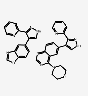 c1ccc(-c2n[nH]cc2-c2ccc3ncnc(N4CCOCC4)c3c2)nc1.c1ccc(-c2n[nH]cc2-c2ccc3ocnc3c2)nc1